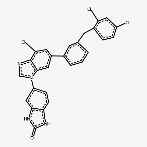 O=c1[nH]c2ccc(-n3cnc4c(Cl)cc(-c5cccc(Cc6ccc(Cl)cc6Cl)c5)cc43)cc2[nH]1